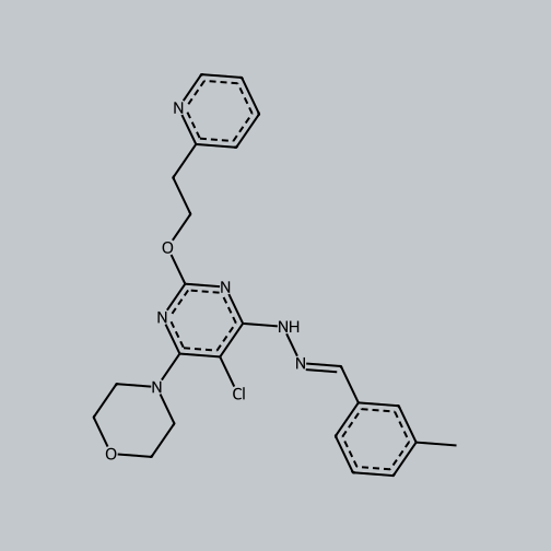 Cc1cccc(/C=N/Nc2nc(OCCc3ccccn3)nc(N3CCOCC3)c2Cl)c1